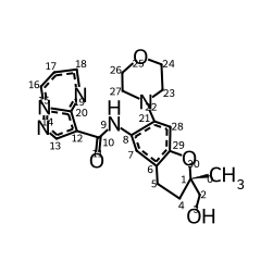 C[C@@]1(CO)CCc2cc(NC(=O)c3cnn4cccnc34)c(N3CCOCC3)cc2O1